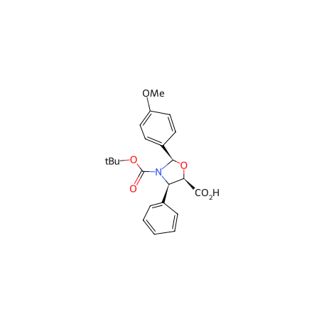 COc1ccc([C@H]2O[C@@H](C(=O)O)[C@@H](c3ccccc3)N2C(=O)OC(C)(C)C)cc1